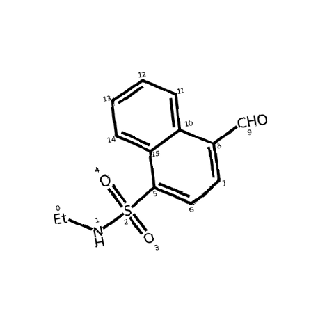 CCNS(=O)(=O)c1ccc(C=O)c2ccccc12